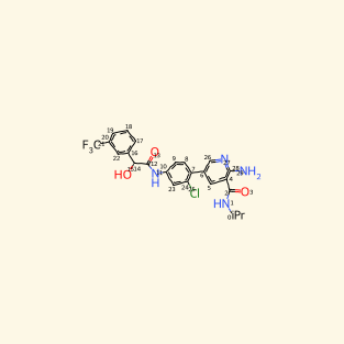 CC(C)NC(=O)c1cc(-c2ccc(NC(=O)[C@@H](O)c3cccc(C(F)(F)F)c3)cc2Cl)cnc1N